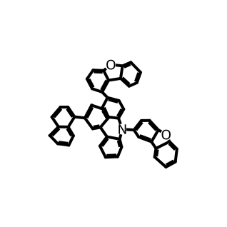 c1cc(-c2ccccc2N(c2ccc(-c3cccc4oc5ccccc5c34)cc2)c2ccc3oc4ccccc4c3c2)cc(-c2cccc3ccccc23)c1